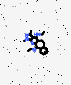 CCN=C1c2ccccc2CCc2c1nc1c(c(C)nn1C)c2NCC